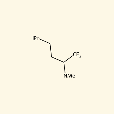 CNC(CCC(C)C)C(F)(F)F